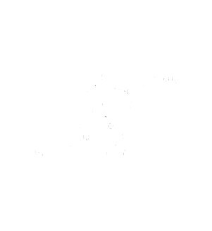 CCCCN1CC[O][Sn]2([O]CCN(CCCC)CC(C(F)(F)F)[O]2)[O]C(C(F)(F)F)C1